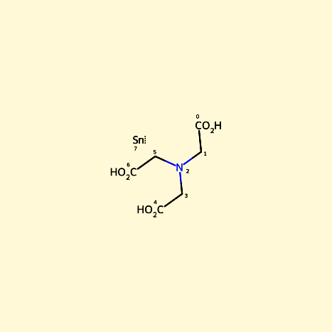 O=C(O)CN(CC(=O)O)CC(=O)O.[Sn]